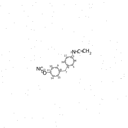 C=C=Nc1ccc(Cc2ccc(OC#N)cc2)cc1